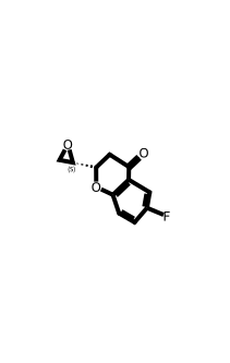 O=C1CC([C@@H]2CO2)Oc2ccc(F)cc21